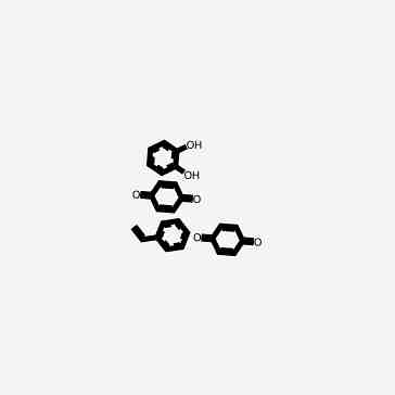 C=Cc1ccccc1.O=C1C=CC(=O)C=C1.O=C1C=CC(=O)C=C1.Oc1ccccc1O